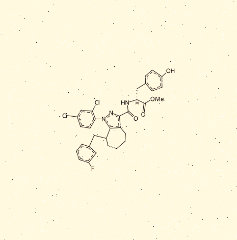 COC(=O)[C@@H](Cc1ccc(O)cc1)NC(=O)c1nn(-c2ccc(Cl)cc2Cl)c2c1CCCCC2Cc1cccc(F)c1